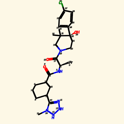 CC(C)[C@@H](NC(=O)C1CCCC(C2=NNNN2C)C1)C(=O)N1CC[C@](O)(c2ccc(Cl)cc2)C(C)(C)C1